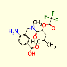 CC(C)CC(OC(=O)C(F)(F)F)C(=O)N(C)Cc1cc(C(=O)O)ccc1N